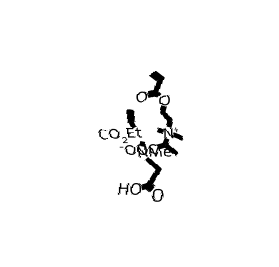 C=CC(=O)OCC.C=CC(=O)OCC[N+](C)(C)C(C)C(=O)[O-].CCC(=O)O.CNC